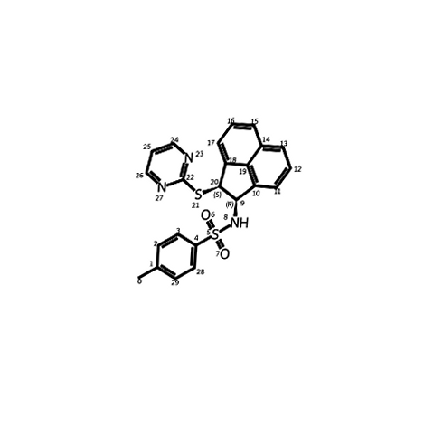 Cc1ccc(S(=O)(=O)N[C@@H]2c3cccc4cccc(c34)[C@@H]2Sc2ncccn2)cc1